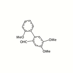 COc1cc(C=O)c(-c2ccccc2OC)cc1OC